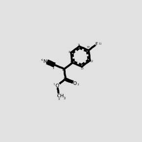 COC(=O)C(C#N)c1ccc(F)cc1